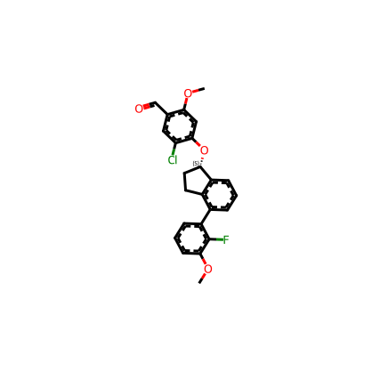 COc1cc(O[C@H]2CCc3c(-c4cccc(OC)c4F)cccc32)c(Cl)cc1C=O